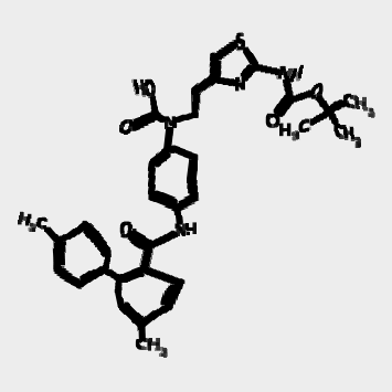 Cc1ccc(-c2cc(C)ccc2C(=O)Nc2ccc(N(CCc3csc(NC(=O)OC(C)(C)C)n3)C(=O)O)cc2)cc1